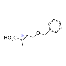 C/C(=C\COCc1ccccc1)C(=O)O